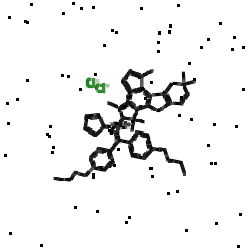 CCCCc1ccc([C](c2ccc(CCCC)cc2)=[Zr+2]([CH]2C=CC=C2)[CH]2C(C)=c3c(c4c(c5c3=CC=C5C)C3=C(C=CC(C)(C)C3)C4)C2(C)C)cc1.[Cl-].[Cl-]